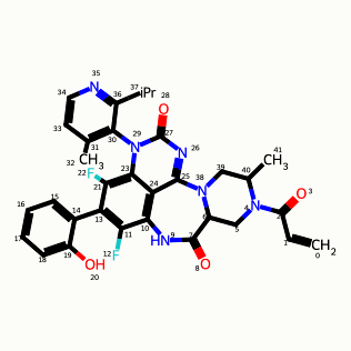 C=CC(=O)N1CC2C(=O)Nc3c(F)c(-c4ccccc4O)c(F)c4c3c(nc(=O)n4-c3c(C)ccnc3C(C)C)N2CC1C